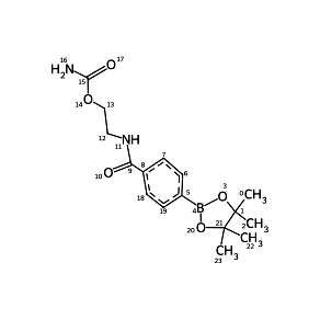 CC1(C)OB(c2ccc(C(=O)NCCOC(N)=O)cc2)OC1(C)C